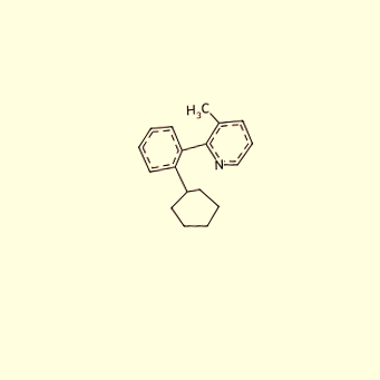 Cc1cccnc1-c1ccccc1C1CCCCC1